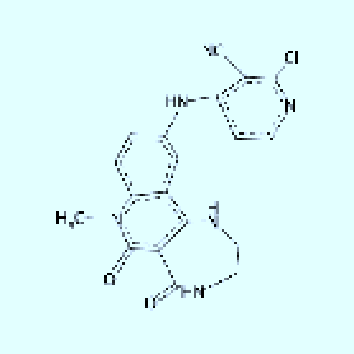 Cn1c(=O)c2c(c3cc(Nc4ccnc(Cl)c4C#N)ccc31)NCCNC2=O